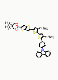 CCCCCCc1cc(-c2cc3sc(C4OCC(C)(C)CO4)cc3s2)sc1-c1cc(CCCCCC)c(C2C=CC(n3c4ccccc4c4ccccc43)=CC2)s1